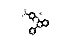 Cl.O=[N+]([O-])c1ccc(Sc2nc(-c3cccnc3)nc3ccccc23)c(F)c1